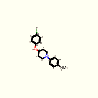 CNc1ccc(N2CCC(Oc3ccc(F)cc3)CC2)cc1